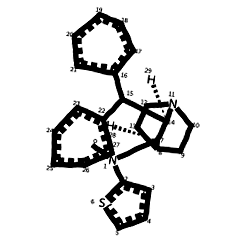 CN(c1cccs1)[C@@H]1C2CCN(CC2)[C@@H]1C(c1ccccc1)c1ccccc1